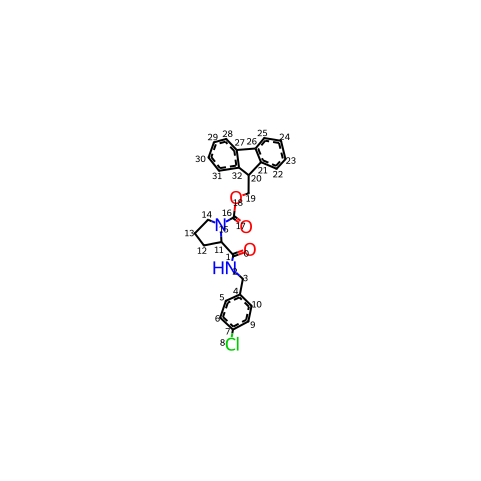 O=C(NCc1ccc(Cl)cc1)C1CCCN1C(=O)OCC1c2ccccc2-c2ccccc21